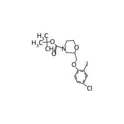 CC(C)(C)OC(=O)N1CCOC(COc2ccc(Cl)cc2I)C1